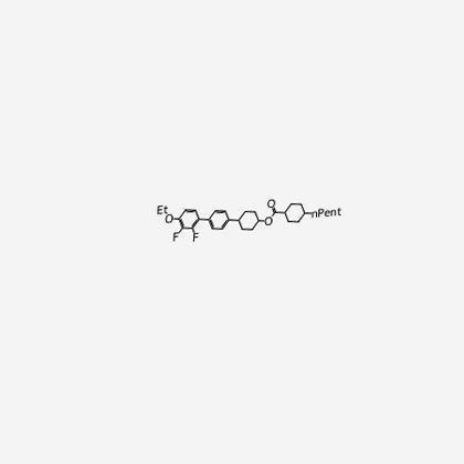 CCCCCC1CCC(C(=O)OC2CCC(c3ccc(-c4ccc(OCC)c(F)c4F)cc3)CC2)CC1